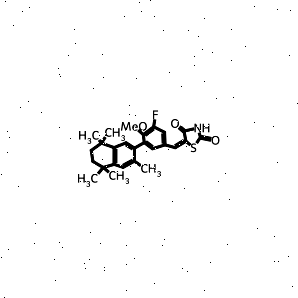 COc1c(F)cc(/C=C2/SC(=O)NC2=O)cc1-c1cc2c(cc1C)C(C)(C)CCC2(C)C